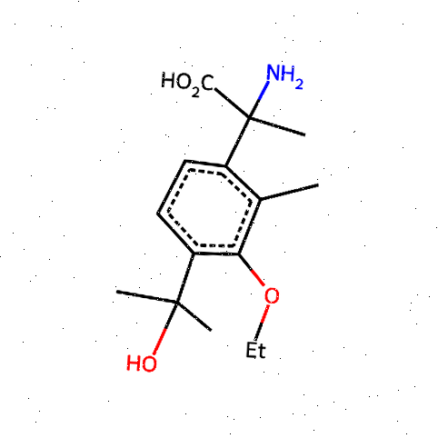 CCOc1c(C(C)(C)O)ccc(C(C)(N)C(=O)O)c1C